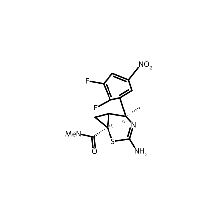 CNC(=O)[C@]12CC1[C@@](C)(c1cc([N+](=O)[O-])cc(F)c1F)N=C(N)S2